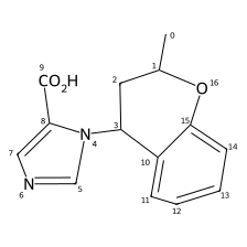 CC1CC(n2cncc2C(=O)O)c2ccccc2O1